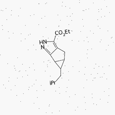 CCOC(=O)c1[nH]nc2c1CC1C(CC(C)C)C21